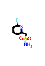 NS(=O)(=O)Cc1cccc(F)n1